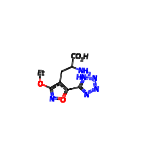 CCOc1noc(-c2nnn[nH]2)c1CC(N)C(=O)O